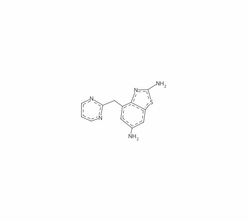 Nc1cc(Cc2ncccn2)c2nc(N)sc2c1